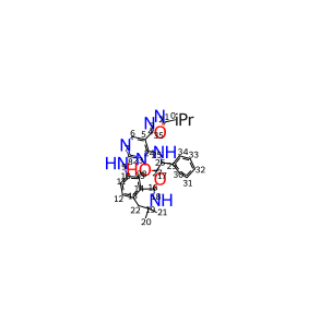 CC(C)c1nnc(-c2cnc(Nc3ccc4c(c3)C(=O)NC(C)(C)C4)nc2N[C@H](CO)c2ccccc2)o1